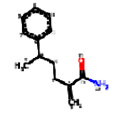 C=C(CCC(C)c1ccccc1)C(N)=O